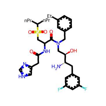 CCCC(CCC)S(=O)(=O)CC(NC(=O)Cc1c[nH]cn1)C(=O)N(Cc1cccc(CC)c1)C[C@@H](O)[C@@H](N)Cc1cc(F)cc(F)c1